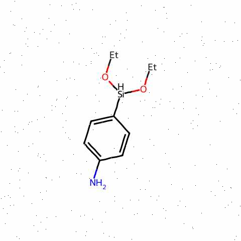 CCO[SiH](OCC)c1ccc(N)cc1